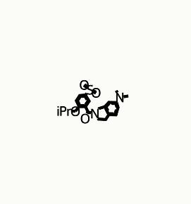 CC(C)Oc1ccc(S(C)(=O)=O)cc1C(=O)N1CCc2ccc(N(C)C)cc2C1